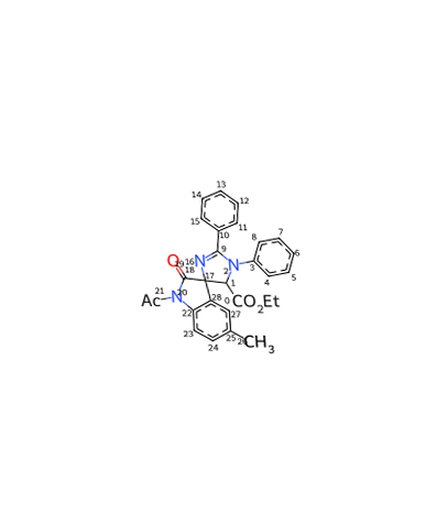 CCOC(=O)C1N(c2ccccc2)C(c2ccccc2)=NC12C(=O)N(C(C)=O)c1ccc(C)cc12